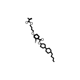 C=C(C)C(=O)OCCCCOc1ccc(C(=O)OC2CCC(C3CCC(CCCCC)CC3)CC2)c(F)c1